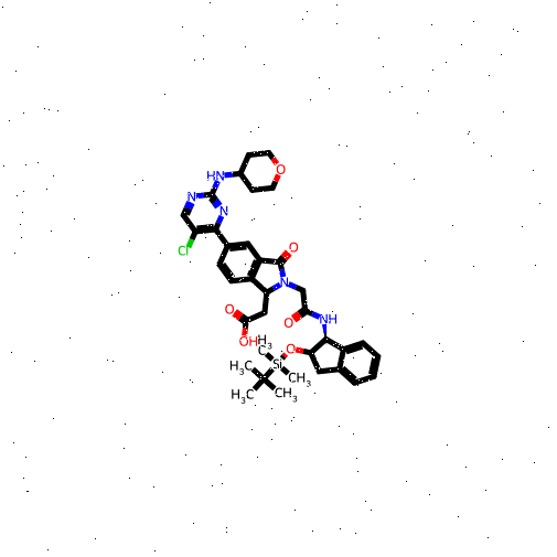 CC(C)(C)[Si](C)(C)OC1Cc2ccccc2[C@@H]1NC(=O)CN1C(=O)c2cc(-c3nc(NC4CCOCC4)ncc3Cl)ccc2C1CC(=O)O